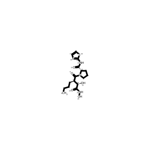 CCCC[C@@H](C(=O)N1CCC[C@H]1C(=O)Nc1nccs1)[C@H](O)C(=O)NO